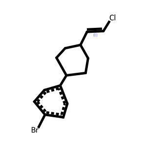 Cl/C=C/C1CCC(c2ccc(Br)cc2)CC1